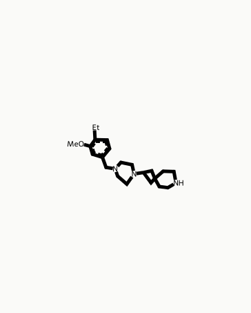 CCc1ccc(CN2CCN(C3CC4(CCNCC4)C3)CC2)cc1OC